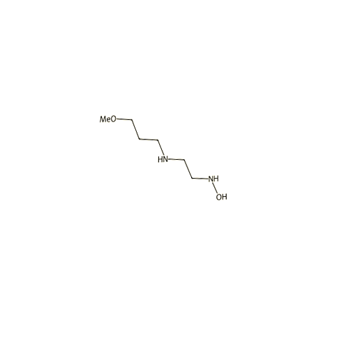 COCCCNCCNO